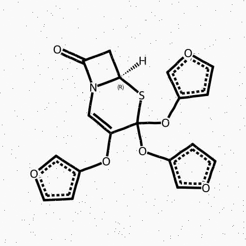 O=C1C[C@H]2SC(Oc3ccoc3)(Oc3ccoc3)C(Oc3ccoc3)=CN12